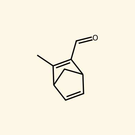 CC1=C(C=O)C2C=CC1C2